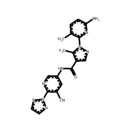 Cc1ccc(N)nc1-n1ncc(C(=O)Nc2cnc(-n3nccn3)c(C#N)c2)c1C(F)(F)F